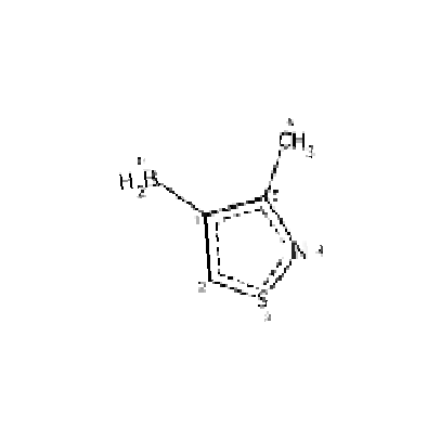 Bc1csnc1C